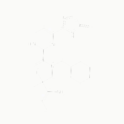 C=C(C(N)N/C(=C\C)c1noc(=O)[nH]1)N(CC1CCCCC1)CC(C)(F)/C(N)=C/C